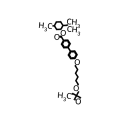 CCC1(COCCCCCCOc2ccc(-c3ccc(C(=O)OC4CC(C)CCC4C(C)C)cc3)cc2)COC1